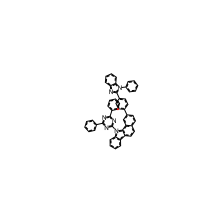 c1ccc(-c2nc(-c3ccccc3)nc(-n3c4ccccc4c4ccc5ccc(-c6ccc(-c7nc8ccccc8n7-c7ccccc7)cc6)cc5c43)n2)cc1